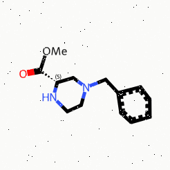 COC(=O)[C@@H]1CN(Cc2ccccc2)CCN1